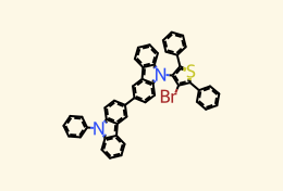 Brc1c(-c2ccccc2)sc(-c2ccccc2)c1-n1c2ccccc2c2cc(-c3ccc4c(c3)c3ccccc3n4-c3ccccc3)ccc21